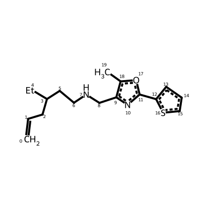 C=CCC(CC)CCNCc1nc(-c2cccs2)oc1C